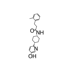 Cc1ccccc1CCC(=O)N[C@H]1CC[C@H](c2ccc(O)cn2)CC1